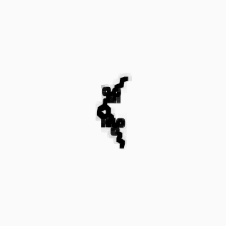 CCCCOC(=O)NCc1cccc(CNC(=O)OCCCC)c1